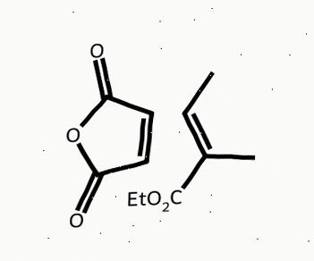 CC=C(C)C(=O)OCC.O=C1C=CC(=O)O1